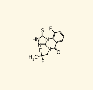 CC(F)(F)Cn1c(=O)c2cccc(F)c2n2c(=S)[nH]nc12